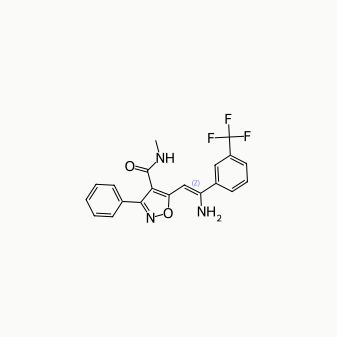 CNC(=O)c1c(-c2ccccc2)noc1/C=C(\N)c1cccc(C(F)(F)F)c1